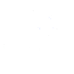 OCCCc1nnc(S)n1-c1ccc(Cl)cc1Cl